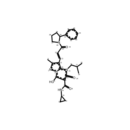 Cc1nn2c(O)c(C(=O)NC3CC3)c(=O)n(CC(C)C)c2c1C=CC(=O)N1CCCC1c1ccccc1